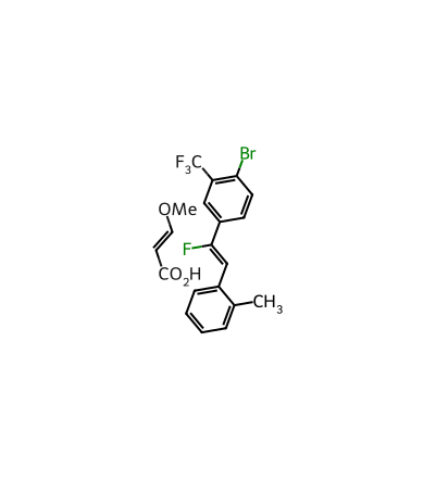 COC=CC(=O)O.Cc1ccccc1C=C(F)c1ccc(Br)c(C(F)(F)F)c1